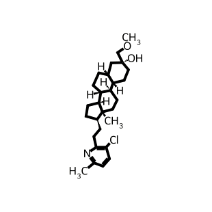 COC[C@@]1(O)CC[C@H]2[C@H](CC[C@@H]3[C@@H]2CC[C@]2(C)[C@@H](CCc4nc(C)ccc4Cl)CC[C@@H]32)C1